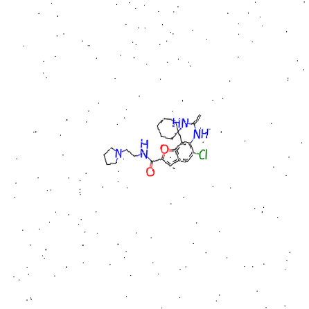 C=C1Nc2c(Cl)cc3cc(C(=O)NCCN4CCCC4)oc3c2C2(CCCCC2)N1